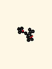 c1ccc(C2(c3ccccc3)c3ccccc3-c3ccc(N(c4ccc(-c5ccc6c(c5)-c5ccccc5C65c6ccccc6-c6ccccc65)cc4)c4ccc5c6ccccc6c6ccccc6c5c4)cc32)cc1